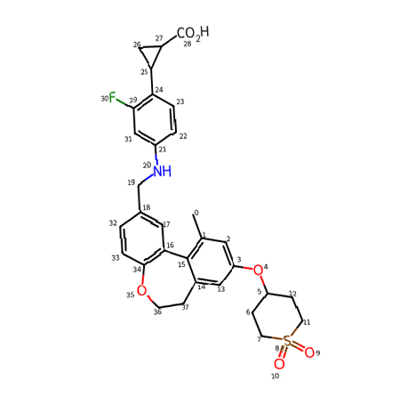 Cc1cc(OC2CCS(=O)(=O)CC2)cc2c1-c1cc(CNc3ccc(C4CC4C(=O)O)c(F)c3)ccc1OCC2